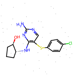 Nc1ncc(Sc2ccc(Cl)cc2)c(N[C@@H]2CCC[C@H]2O)n1